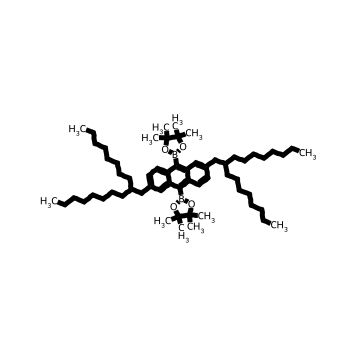 CCCCCCCCC(CCCCCCCC)Cc1ccc2c(B3OC(C)(C)C(C)(C)O3)c3cc(CC(CCCCCCCC)CCCCCCCC)ccc3c(B3OC(C)(C)C(C)(C)O3)c2c1